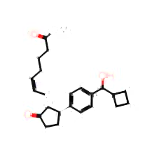 COC(=O)CCC/C=C\C[C@H]1C(=O)CC[C@@H]1c1ccc(C(O)C2CCC2)cc1